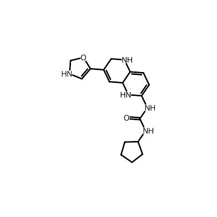 O=C(NC1=CC=C2NCC(C3=CNCO3)=CC2N1)NC1CCCC1